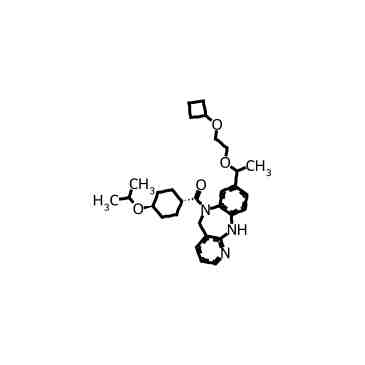 CC(C)O[C@H]1CC[C@H](C(=O)N2Cc3cccnc3Nc3ccc(C(C)OCCOC4CCC4)cc32)CC1